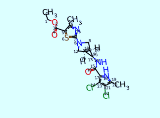 CCOC(=O)c1sc(N2C[C@@H]3[C@H](C2)[C@@H]3NC(=O)c2[nH]c(C)c(Cl)c2Cl)nc1C